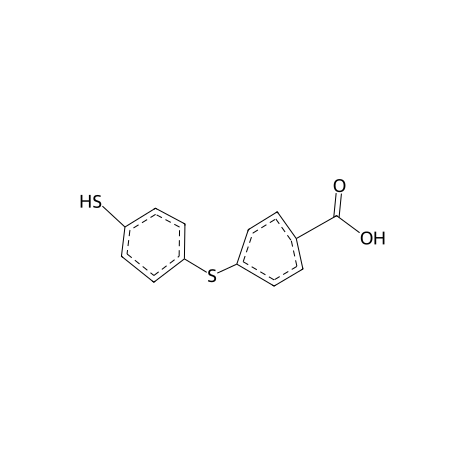 O=C(O)c1ccc(Sc2ccc(S)cc2)cc1